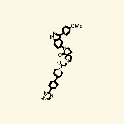 COc1ccc(-c2n[nH]c3ccc(N4CCC5(CCN(CC(=O)N6CC=C(c7ccc(-c8ncn(C)n8)cc7)CC6)C5)C4=O)cc23)cc1